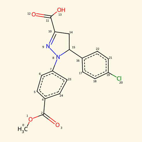 COC(=O)c1ccc(N2N=C(C(=O)O)CC2c2ccc(Cl)cc2)cc1